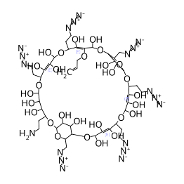 C=CCO/C1=C(/O)C(CCN=[N+]=[N-])OC(O)/C(O)=C(\O)C(CCN=[N+]=[N-])OC(O)C(O)C(O)C(CCN)OC2OC(CN=[N+]=[N-])C(OC(O)/C(O)=C(\O)C(CCN=[N+]=[N-])OC(O)/C(O)=C(/O)C(CCN=[N+]=[N-])OC3OC(CN=[N+]=[N-])C(OC1O)C(O)C3O)C(O)C2O